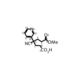 COC(=O)CCC(C#N)(CCC(=O)O)c1cccnc1